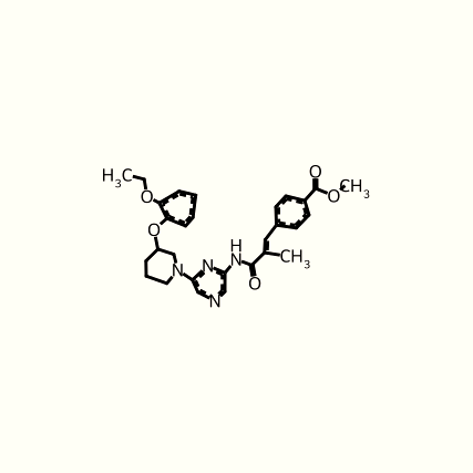 CCOc1ccccc1OC1CCCN(c2cncc(NC(=O)C(C)=Cc3ccc(C(=O)OC)cc3)n2)C1